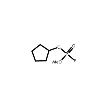 COP(=O)(F)OC1CCCC1